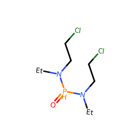 CCN(CCCl)[PH](=O)N(CC)CCCl